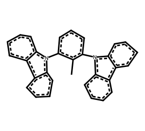 Cc1c(-n2c3ccccc3c3ccccc32)cccc1-n1c2ccccc2c2ccccc21